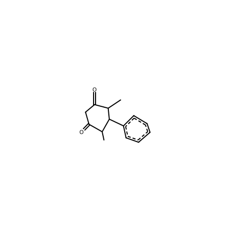 CC1C(=O)CC(=O)C(C)C1c1ccccc1